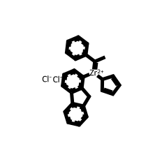 C[C](c1ccccc1)=[Zr+2]([c]1cccc2c1Cc1ccccc1-2)[CH]1C=CC=C1.[Cl-].[Cl-]